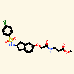 COC(=O)CCNC(=O)COc1ccc2c(c1)CC(NS(=O)(=O)c1ccc(Cl)cc1)C2